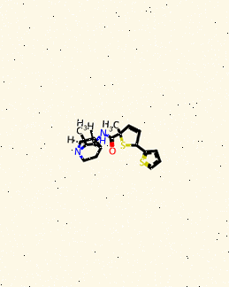 C[C@H]1[C@H](NC(=O)C2(C)C=CC(c3cccs3)S2)C2CCN1CC2